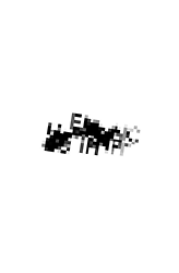 [C-]#[N+]CCOP(O[C@@H]1CC[C@@H](CC)N1CCCCCCN1C(=O)c2ccccc2C1=O)N(C(C)C)C(C)C